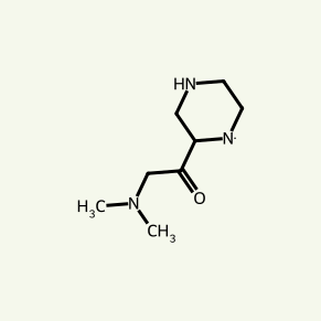 CN(C)CC(=O)C1CNCC[N]1